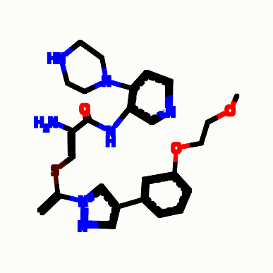 C=C(S/C=C(\N)C(=O)Nc1cnccc1N1CCNCC1)n1cc(-c2cccc(OCCOC)c2)cn1